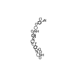 N#Cc1ccc(O[C@H]2CC[C@H](NC(=O)c3ccc(N4CCN(Cc5cc6c(cc5F)C(=O)N(C5CCC(=O)NC5=O)C6)CC4)nn3)CC2)cc1Cl